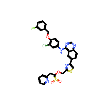 O=S(=O)=C(Cc1ccccn1)OCc1nc(-c2ccc3ncnc(Nc4ccc(OCc5cccc(F)c5)c(Cl)c4)c3c2)cs1